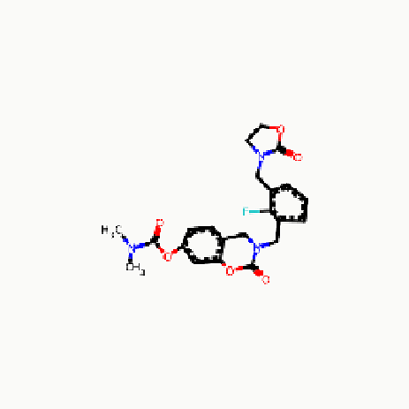 CN(C)C(=O)Oc1ccc2c(c1)OC(=O)N(Cc1cccc(CN3CCOC3=O)c1F)C2